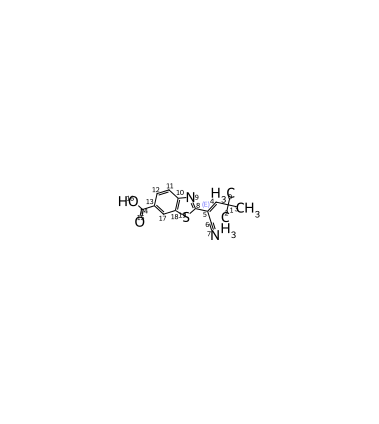 CC(C)(C)/C=C(\C#N)c1nc2ccc(C(=O)O)cc2s1